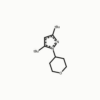 CC(C)(C)c1cc(C(C)(C)C)n(C2CCOCC2)n1